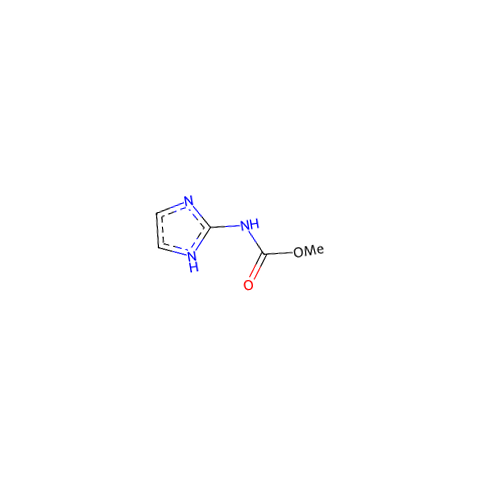 COC(=O)Nc1ncc[nH]1